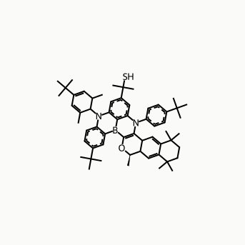 CC1=CC(C(C)(C)C)=CC(C)C1N1c2ccc(C(C)(C)C)cc2B2C3=C(C4C=C5C(=CC4[C@@H](C)O3)C(C)(C)CCC5(C)C)N(c3ccc(C(C)(C)C)cc3)c3cc(C(C)(C)S)cc1c32